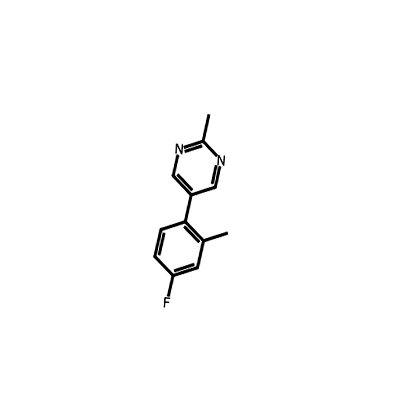 Cc1ncc(-c2ccc(F)cc2C)cn1